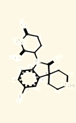 O=C1CCC(N2C(=O)C3(CCNCC3)c3cc(F)ccc32)C(=O)N1